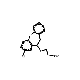 CNCCSC1Cc2ccccc2Sc2ccc(Cl)cc21